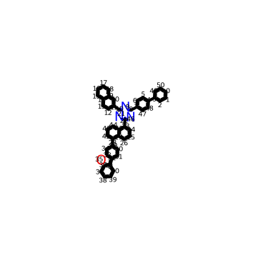 c1ccc(-c2ccc(-c3nc(-c4ccc5ccccc5c4)nc(-c4cccc5c(-c6ccc7c(c6)oc6ccccc67)cccc45)n3)cc2)cc1